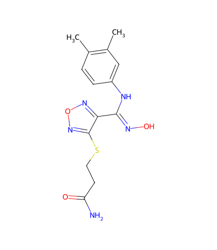 Cc1ccc(N/C(=N\O)c2nonc2SCCC(N)=O)cc1C